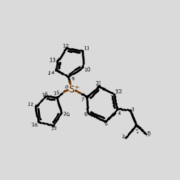 CC(C)Cc1ccc([S+](c2ccccc2)c2ccccc2)cc1